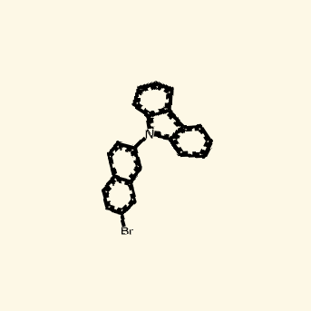 Brc1ccc2ccc(-n3c4ccccc4c4ccccc43)cc2c1